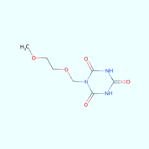 COCCOCn1c(=O)[nH]c(=O)[nH]c1=O